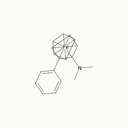 CN(C)[C]12[CH]3[CH]4[CH]5[C]1(c1ccccc1)[Fe]45321678[CH]2[CH]1[CH]6[CH]7[CH]28